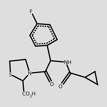 O=C(NC(C(=O)N1CCSC1C(=O)O)c1ccc(F)cc1)C1CC1